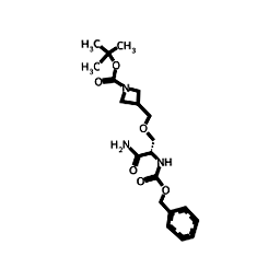 CC(C)(C)OC(=O)N1CC(COC[C@H](NC(=O)OCc2ccccc2)C(N)=O)C1